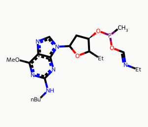 CCCCNc1nc(OC)c2ncn(C3C[C@@H](OP(C)OC=NCC)C(CC)O3)c2n1